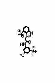 COc1cc(NC(=O)Cn2cnc3cccc(S(C)(=O)=O)c32)cc(C(F)(F)F)c1